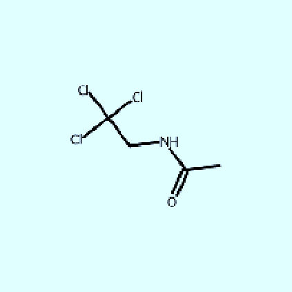 CC(=O)NCC(Cl)(Cl)Cl